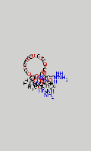 CC(=O)N[C@@H](CCCNC(=N)N)C(=O)N(C(=O)OC(C)(C)C)C1(N(C(=O)OC(C)(C)C)C(=O)[C@H](CCCNC(=N)N)NC(C)=O)COCCOCCOCCOCCOCCOCCOc2ccccc2O1